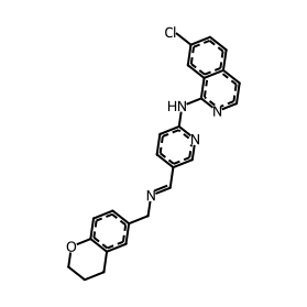 Clc1ccc2ccnc(Nc3ccc(/C=N/Cc4ccc5c(c4)CCCO5)cn3)c2c1